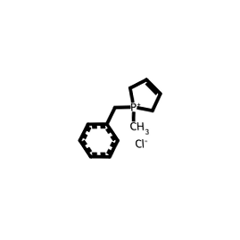 C[P+]1(Cc2ccccc2)CC=CC1.[Cl-]